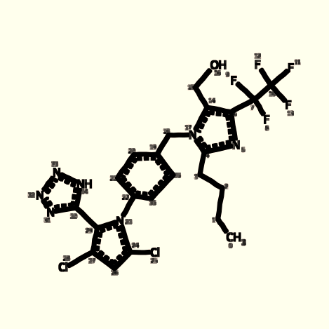 CCCCc1nc(C(F)(F)C(F)(F)F)c(CO)n1Cc1ccc(-n2c(Cl)cc(Cl)c2-c2nnn[nH]2)cc1